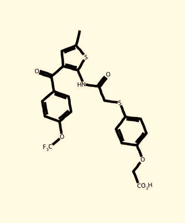 Cc1cc(C(=O)c2ccc(OC(F)(F)F)cc2)c(NC(=O)CSc2ccc(OCC(=O)O)cc2)s1